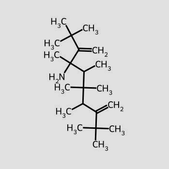 C=C(C(C)C(C)(C)C(C)C(C)(N)C(=C)C(C)(C)C)C(C)(C)C